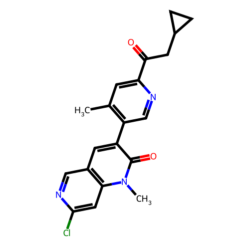 Cc1cc(C(=O)CC2CC2)ncc1-c1cc2cnc(Cl)cc2n(C)c1=O